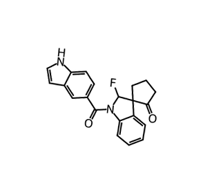 O=C(c1ccc2[nH]ccc2c1)N1c2ccccc2C2(CCCC2=O)C1F